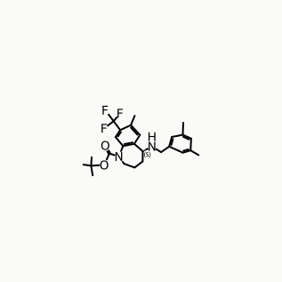 Cc1cc(C)cc(CN[C@H]2CCCN(C(=O)OC(C)(C)C)c3cc(C(F)(F)F)c(C)cc32)c1